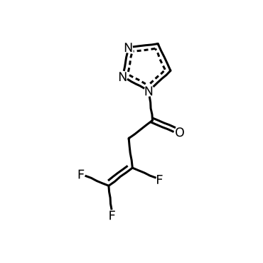 O=C(CC(F)=C(F)F)n1ccnn1